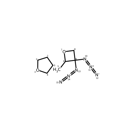 C1CCOC1.CC1OCC1(N=[N+]=[N-])N=[N+]=[N-]